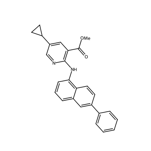 COC(=O)c1cc(C2CC2)cnc1Nc1cccc2cc(-c3ccccc3)ccc12